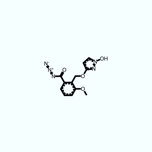 COc1cccc(C(=O)N=[N+]=[N-])c1COc1ccn(O)n1